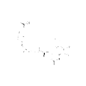 CC(=O)NC1C(OCC(=O)NCCOC(C)(C)CCOC(C)(C)CCC(=O)O)OC(CO)C(O)C1O